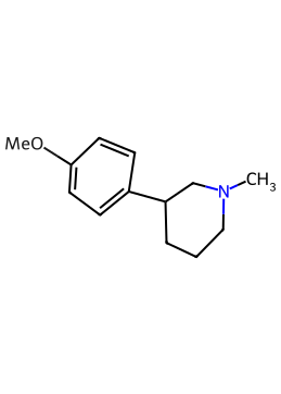 COc1ccc(C2CCCN(C)C2)cc1